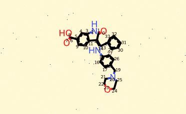 O=C1Nc2cc(C(=O)O)ccc2C1=C(Nc1ccc(CN2CCOCC2)cc1)c1ccccc1